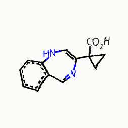 O=C(O)C1(C2=CNc3ccccc3C=N2)CC1